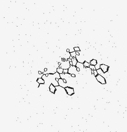 Cc1ccc(S(=O)(=O)OC=CC2=C(C(=O)OC(c3ccccc3)c3ccccc3)N3C(=O)C(NC(=O)C(=NOC4(C(=O)OC(C)(C)C)CCC4)c4csc(NC(c5ccccc5)(c5ccccc5)c5ccccc5)n4)C3[S+]([O-])C2)cc1